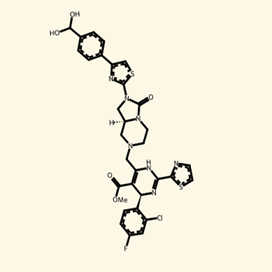 COC(=O)C1=C(CN2CCN3C(=O)N(c4nc(-c5ccc(C(O)O)cc5)cs4)C[C@@H]3C2)NC(c2nccs2)=N[C@H]1c1ccc(F)cc1Cl